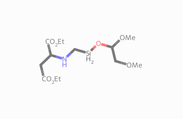 CCOC(=O)CC(NC[SiH2]OC(COC)OC)C(=O)OCC